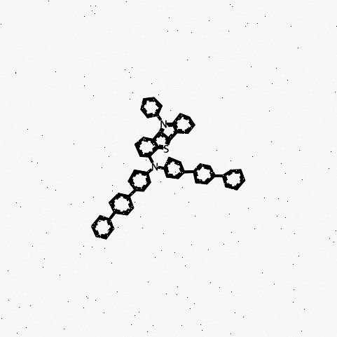 c1ccc(-c2ccc(-c3ccc(N(c4ccc(-c5ccc(-c6ccccc6)cc5)cc4)c4cccc5c4sc4c6ccccc6n(-c6ccccc6)c54)cc3)cc2)cc1